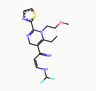 CCC1=C(C(=N)/C=C\NC(F)F)CN=C(c2nccs2)N1CCOC